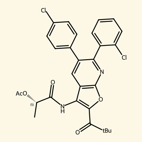 CC(=O)O[C@@H](C)C(=O)Nc1c(C(=O)C(C)(C)C)oc2nc(-c3ccccc3Cl)c(-c3ccc(Cl)cc3)cc12